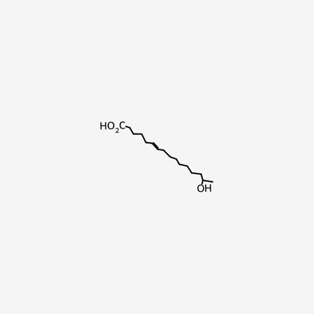 CC(O)CCCCCCCC=CCCCCC(=O)O